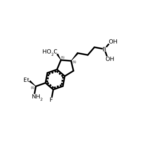 CC[C@H](N)c1cc2c(cc1F)C[C@H](CCCB(O)O)[C@@H]2C(=O)O